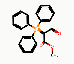 COC(=O)C(C=O)=P(c1ccccc1)(c1ccccc1)c1ccccc1